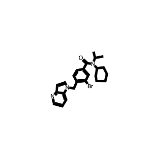 CC(C)N(C(=O)c1ccc(Cn2ccc3ncccc32)c(Br)c1)C1CCCCC1